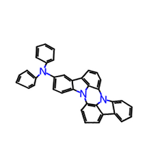 c1ccc(N(c2ccccc2)c2ccc3c(c2)c2cccc4c2n3c2cccc3c5ccccc5n4c32)cc1